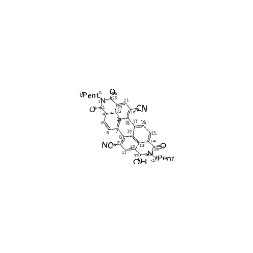 CCCC(C)N1C(=O)c2ccc3c4c(C#N)cc5c6c(ccc(c7c(C#N)cc(c2c37)C1=O)c64)C(=O)N(C(C)CCC)C5O